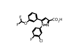 O=C(O)c1cc(-c2cccc(OC(F)F)c2)n(-c2ccc(F)c(Cl)c2)n1